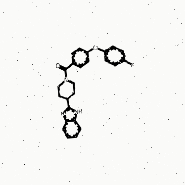 O=C(c1ccc(Oc2ccc(F)cc2)cc1)N1CCC(c2nc3ccccc3[nH]2)CC1